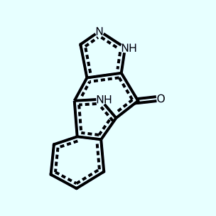 O=c1c2[nH]c(c3cn[nH]c13)c1ccccc21